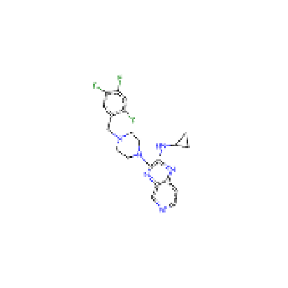 Fc1cc(F)c(CN2CCN(c3nc4cnccc4nc3NC3CC3)CC2)cc1F